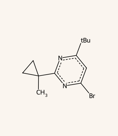 CC(C)(C)c1cc(Br)nc(C2(C)CC2)n1